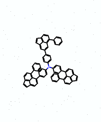 C1=Cc2cc(-c3ccc(N(c4ccc(-c5ccc6c7c(ccc(-c8ccccc8)c57)C=C6)cc4)c4ccc(-c5ccc6c7c(ccc(-c8ccccc8)c57)C=C6)cc4)cc3)cc3c(-c4ccccc4)ccc1c23